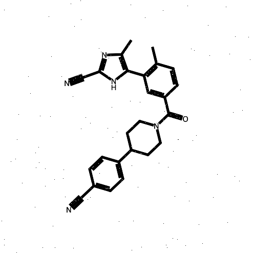 Cc1ccc(C(=O)N2CCC(c3ccc(C#N)cc3)CC2)cc1-c1[nH]c(C#N)nc1C